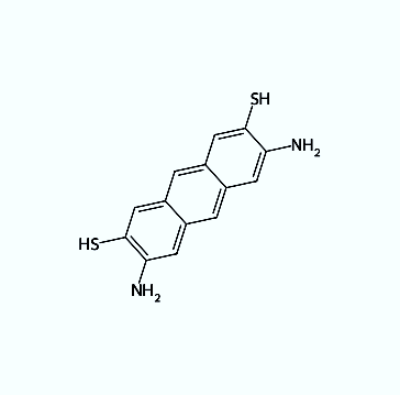 Nc1cc2cc3cc(N)c(S)cc3cc2cc1S